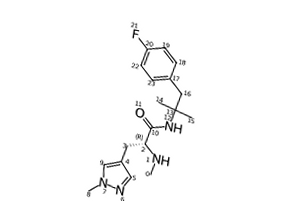 CN[C@H](Cc1cnn(C)c1)C(=O)NC(C)(C)Cc1ccc(F)cc1